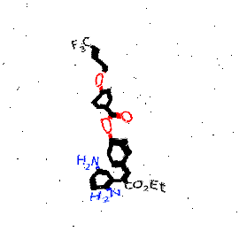 CCOC(=O)C(=Cc1ccc(OC(=O)c2ccc(OCCCC(F)(F)F)cc2)cc1)c1cc(N)ccc1N